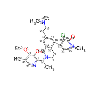 CCOc1cc(C(C)N2CCc3c(cc(CCN(C)CC)cc3-c3ccn(C)c(=O)c3Cl)C2=O)ncc1C#N